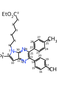 CCOC(=O)CCCCCCn1c(C(C)C)cc2nc(-c3ccc(C)cc3)c(-c3ccc(C)cc3)nc21